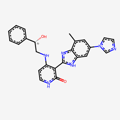 Cc1cc(-n2ccnc2)cc2[nH]c(-c3c(NC[C@@H](O)c4ccccc4)cc[nH]c3=O)nc12